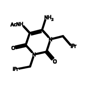 CC(=O)Nc1c(N)n(CC(C)C)c(=O)n(CC(C)C)c1=O